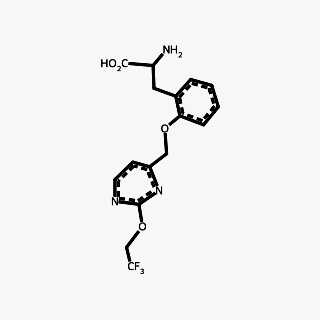 NC(Cc1ccccc1OCc1ccnc(OCC(F)(F)F)n1)C(=O)O